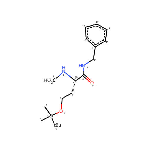 CC(C)(C)[Si](C)(C)OCC[C@H](NC(=O)O)C(=O)NCc1ccccc1